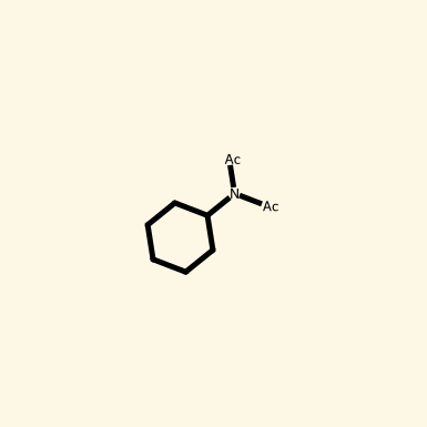 CC(=O)N(C(C)=O)C1CCCCC1